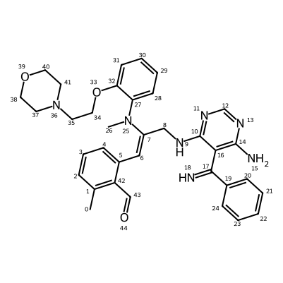 Cc1cccc(/C=C(/CNc2ncnc(N)c2C(=N)c2ccccc2)N(C)c2ccccc2OCCN2CCOCC2)c1C=O